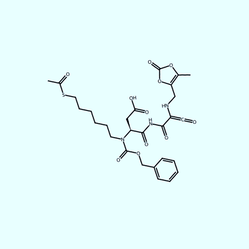 CC(=O)SCCCCCCN(C(=O)OCc1ccccc1)[C@@H](CC(=O)O)C(=O)NC(=O)C(=C=O)NCc1oc(=O)oc1C